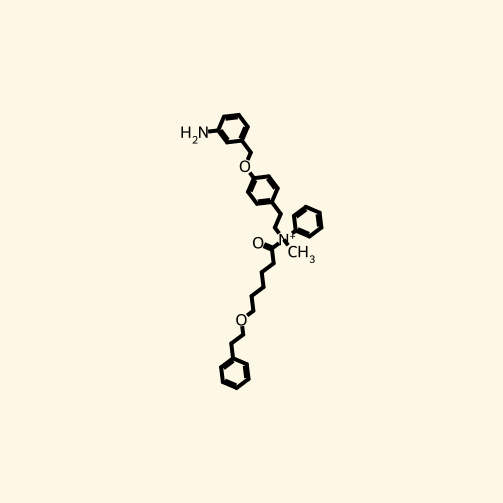 C[N+](CCc1ccc(OCc2cccc(N)c2)cc1)(C(=O)CCCCCOCCc1ccccc1)c1ccccc1